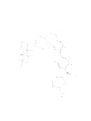 CN(CC1CCN(CC2(S(=O)(=O)C(F)(F)F)CCC2)CC1)c1ccc(-c2ccc(C(=O)N3CCCC(O)C3)cc2)cc1